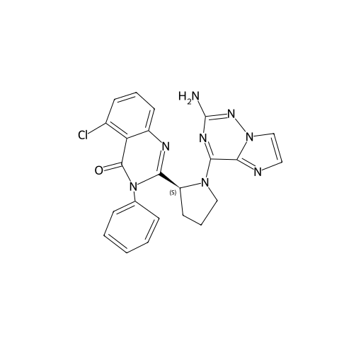 Nc1nc(N2CCC[C@H]2c2nc3cccc(Cl)c3c(=O)n2-c2ccccc2)c2nccn2n1